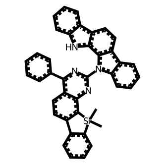 C[Si]1(C)c2ccccc2-c2ccc3c(-c4ccccc4)nc(-n4c5ccccc5c5ccc6c7ccccc7[nH]c6c54)nc3c21